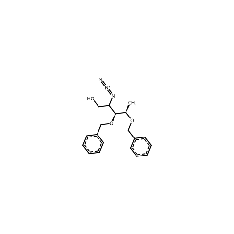 C[C@@H](OCc1ccccc1)[C@@H](OCc1ccccc1)C(CO)N=[N+]=[N-]